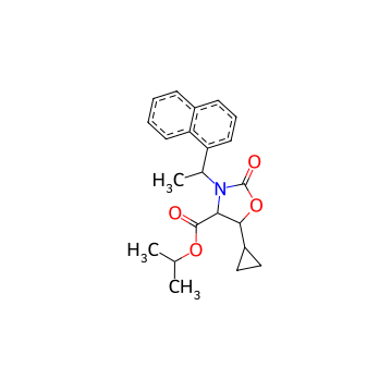 CC(C)OC(=O)C1C(C2CC2)OC(=O)N1C(C)c1cccc2ccccc12